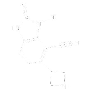 C#Cc1c(C2CNC2)ccc2[nH]c(=O)n(C)c12